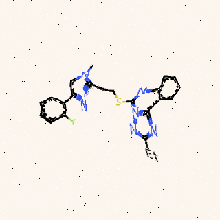 CCc1nc2c3ccccc3nc(SCc3nc(-c4ccccc4F)cn3C)n2n1